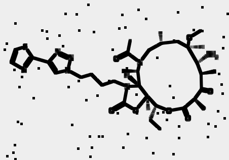 B[C@@H]1[C@@H](C)C(=O)[C@@H](C)C(=O)O[C@H](CC)[C@@]2(C)OC(=O)N(CCCCn3cc(-c4nccs4)nn3)[C@@H]2[C@@H](C)N(C(C)=O)C[C@H](C)C[C@@]1(C)OC